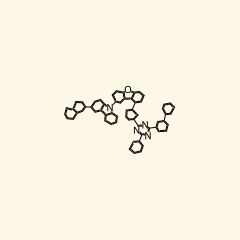 c1ccc(-c2cccc(-c3nc(-c4ccccc4)nc(-c4cccc(-c5cccc6oc7ccc(-n8c9ccccc9c9cc(-c%10ccc%11ccccc%11c%10)ccc98)cc7c56)c4)n3)c2)cc1